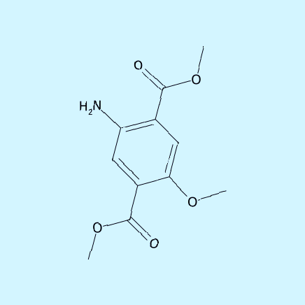 COC(=O)c1cc(OC)c(C(=O)OC)cc1N